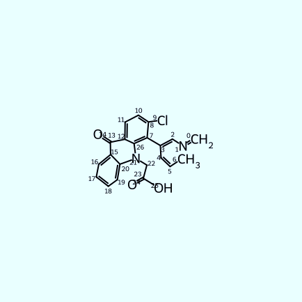 C=N/C=C(\C=C/C)c1c(Cl)ccc2c(=O)c3ccccc3n(CC(=O)O)c12